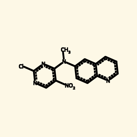 CN(c1ccc2ncccc2c1)c1nc(Cl)ncc1[N+](=O)[O-]